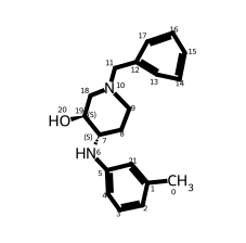 Cc1cccc(N[C@H]2CCN(Cc3ccccc3)C[C@@H]2O)c1